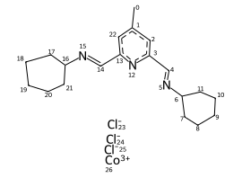 Cc1cc(C=NC2CCCCC2)nc(C=NC2CCCCC2)c1.[Cl-].[Cl-].[Cl-].[Co+3]